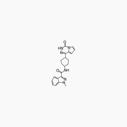 Cn1nc(C(=O)NC2CCC(c3n[nH]c(=O)n4cccc34)CC2)c2ccccc21